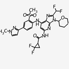 Cn1ccc(-c2ccc(Nc3cc(NC(=O)C4CC4(F)F)nc4c3nc(C(F)F)n4C3CCCCO3)c(S(C)(=O)=O)c2)n1